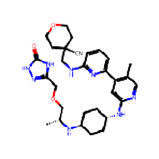 Cc1cnc(N[C@H]2CC[C@H](N[C@H](C)COCc3n[nH]c(=O)[nH]3)CC2)cc1-c1cccc(NCC2(C#N)CCOCC2)n1